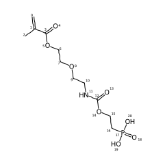 C=C(C)C(=O)OCCOCCNC(=O)OCCP(=O)(O)O